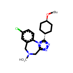 CC(C)(C)O[C@H]1CC[C@H](c2nnc3n2-c2ccc(Cl)cc2CN(C(=O)O)C3)CC1